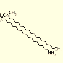 CCCCCCCCCCCCCCCCCCN.CCCCCCCCCCCCCCCCCCN(C)C